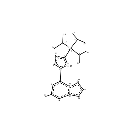 Cc1cc(-c2cnc([Si](C(C)C)(C(C)C)C(C)C)o2)n2nc[c]c2c1